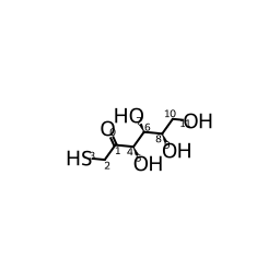 O=C(CS)[C@H](O)[C@@H](O)[C@H](O)CO